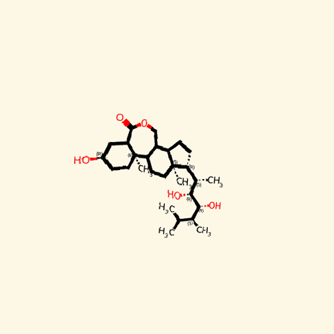 CC(C)[C@H](C)[C@@H](O)[C@H](O)[C@@H](C)[C@H]1CCC2C3COC(=O)C4C[C@H](O)CC[C@]4(C)C3CC[C@@]21C